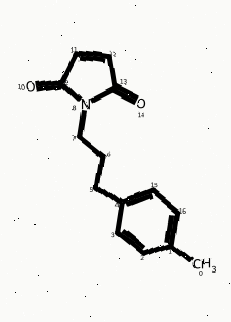 Cc1ccc(CCCN2C(=O)C=CC2=O)cc1